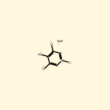 [NaH].[O-][n+]1cc(Cl)c(S)c(Cl)c1